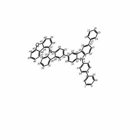 c1ccc(-c2ccc(-n3c4ccc(-c5ccccc5)cc4c4cc(-c5ccc6c(c5)c5ccccc5n6-c5cccc6oc7ccccc7c56)ccc43)cc2)cc1